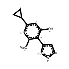 COc1nc(C2CC2)cc(O)c1-c1ccno1